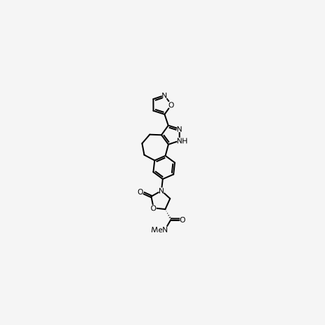 CNC(=O)[C@H]1CN(c2ccc3c(c2)CCCc2c(-c4ccno4)n[nH]c2-3)C(=O)O1